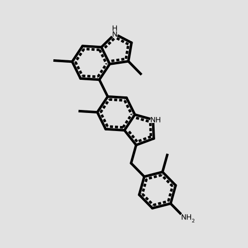 Cc1cc(-c2cc3[nH]cc(Cc4ccc(N)cc4C)c3cc2C)c2c(C)c[nH]c2c1